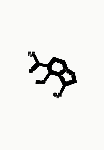 COc1c(C(=O)C(F)(F)F)ccn2ncc([N+](=O)[O-])c12